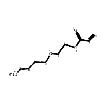 C=CC(=O)OCCOCCCCOC